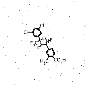 Cc1cc(C2C(F)C(c3cc(Cl)cc(Cl)c3)(C(F)(F)F)ON2F)ccc1C(=O)O